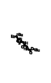 CCCCC(CC)c1csc(NC(=O)CNC(=O)OC(C)(C)C)n1